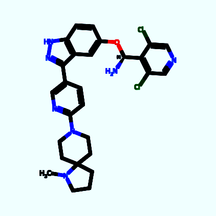 CN1CCCC12CCN(c1ccc(-c3n[nH]c4ccc(O[C@H](N)c5c(Cl)cncc5Cl)cc34)cn1)CC2